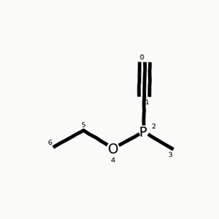 C#CP(C)OCC